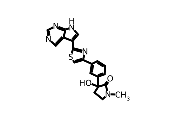 CN1CCC(O)(c2cccc(-c3csc(-c4c[nH]c5ncncc45)n3)c2)C1=O